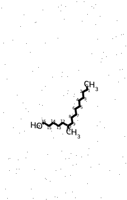 CCCCCCCCCCC(C)CCCCCO